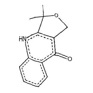 CC1(C)OCc2c1[nH]c1ccccc1c2=O